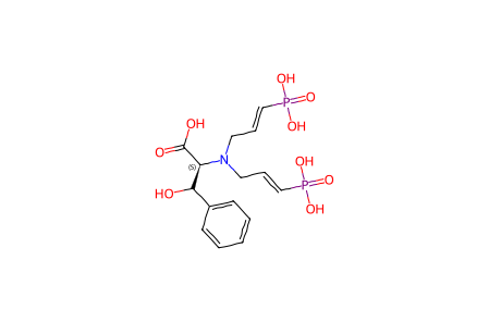 O=C(O)[C@H](C(O)c1ccccc1)N(CC=CP(=O)(O)O)CC=CP(=O)(O)O